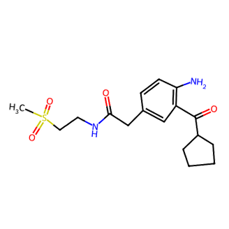 CS(=O)(=O)CCNC(=O)Cc1ccc(N)c(C(=O)C2CCCC2)c1